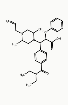 C=CCN1CC(C)N(C(c2ccc(C(=O)N(CC)CC)cc2)[C@@H](Oc2ccccc2)C(=O)O)CC1C